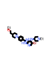 CCOCCC1CCN(c2ccc(-c3nc4c(NC5CCN(CC)CC5)c(Br)cnc4[nH]3)cc2)CC1